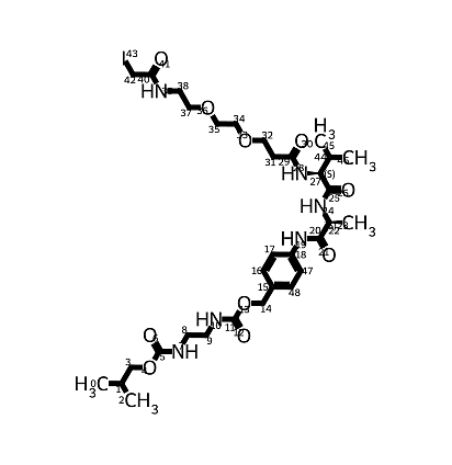 CC(C)COC(=O)NCCNC(=O)OCc1ccc(NC(=O)[C@H](C)NC(=O)[C@@H](NC(=O)CCOCCOCCNC(=O)CI)C(C)C)cc1